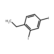 [CH2]Cc1ccc(I)cc1I